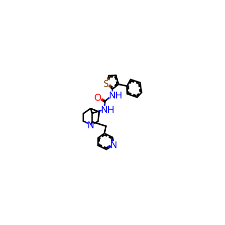 O=C(Nc1sccc1-c1ccccc1)NC1C2CCN(CC2)C1Cc1cccnc1